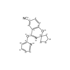 N#Cc1ccc2c(c1)C(Oc1ccccn1)=NC1(CCCC1)O2